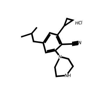 CC(C)Cc1cc(C2CC2)c(C#N)c(N2CCNCC2)c1.Cl